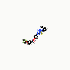 C/C(=N\Oc1ccc(/C=N/NC(=S)Nc2ccccc2C(C)C)cc1)c1ccc(OC(F)(F)F)cc1